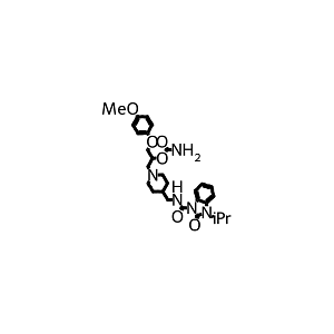 COc1ccc(OCC(CN2CCC(CNC(=O)n3c(=O)n(C(C)C)c4ccccc43)CC2)OC(N)=O)cc1